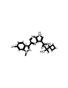 Cn1nc(-c2cnc3[nH]cc(C(=O)NC4(C(C)(C)O)CCC4)c3n2)c2ccc(F)cc21